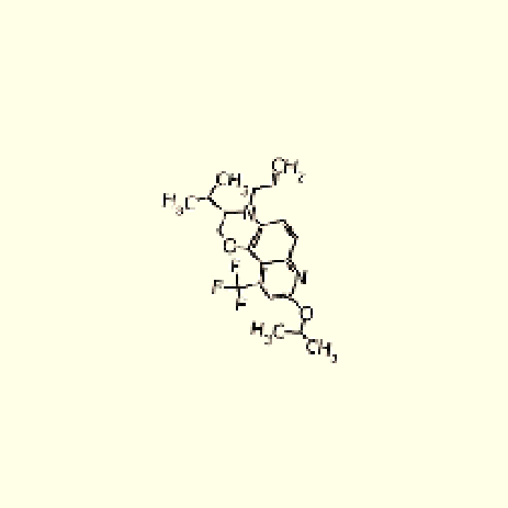 C=CCN1c2ccc3nc(OC(C)C)cc(C(F)(F)F)c3c2OC[C@H]1C(C)C